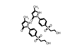 Cc1cc(=O)n(-c2ccc(S(=O)(=O)CCO)cc2)[nH]1.Cc1cc(=O)n(-c2ccc(S(=O)(=O)CCO)cc2)[nH]1